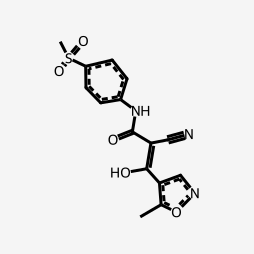 Cc1oncc1/C(O)=C(\C#N)C(=O)Nc1ccc(S(C)(=O)=O)cc1